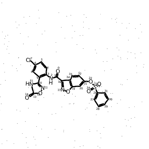 O=C(Nc1ccc(Cl)cc1-c1noc(=O)[nH]1)c1noc2cc(OS(=O)(=O)c3ccccc3)ccc12